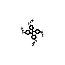 O=C=NC1CCC(C(C2CCC(N=C=O)CC2)C(C2CCC(N=C=O)CC2)C2CCC(N=C=O)CC2)CC1